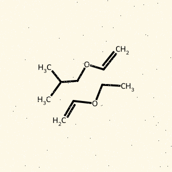 C=COCC.C=COCC(C)C